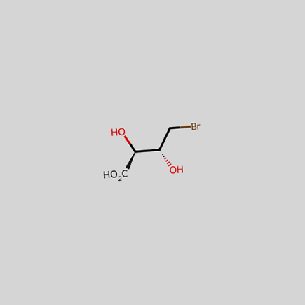 O=C(O)[C@@H](O)[C@@H](O)CBr